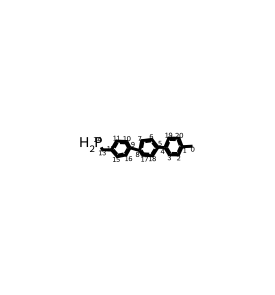 Cc1ccc(-c2ccc(-c3ccc(CP)cc3)cc2)cc1